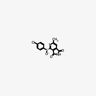 Cc1cc2c(c([S+]([O-])c3ccc(Cl)cc3)n1)C(=O)NC2=O